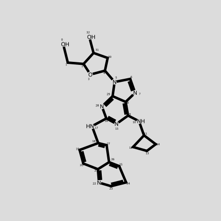 OCC1OC(n2cnc3c(NC4CCC4)nc(Nc4ccc5ncccc5c4)nc32)CC1O